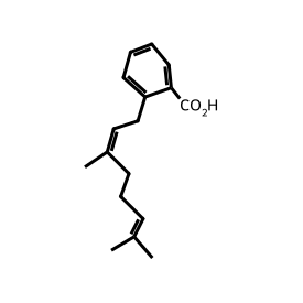 CC(C)=CCCC(C)=CCc1ccccc1C(=O)O